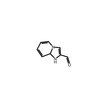 O=CC1=CN2C=CC=CC2N1